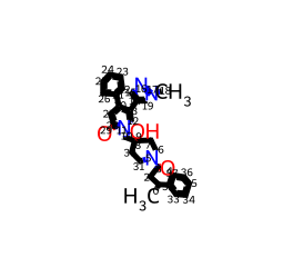 CC(CC(=O)N1CCC(O)(Cn2cc(-c3cnn(C)c3)c(-c3ccccc3)cc2=O)CC1)c1ccccc1